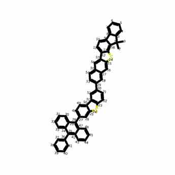 CC1(C)c2ccccc2-c2ccc3c(sc4cc5cc(-c6ccc7sc8cc(-c9c%10ccccc%10c(-c%10ccccc%10)c%10ccccc9%10)ccc8c7c6)ccc5cc43)c21